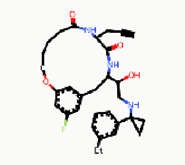 C#CCC1NC(=O)CCCCOc2cc(F)cc(c2)CC(C(O)CNC2(c3cccc(CC)c3)CC2)NC1=O